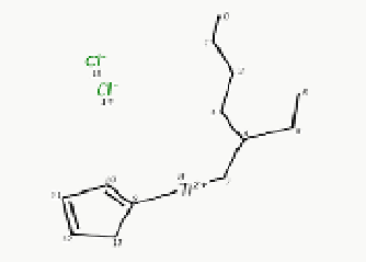 CCCCC(CC)[CH2][Ti+2][C]1=CC=CC1.[Cl-].[Cl-]